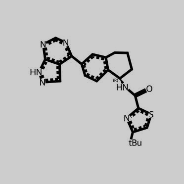 CC(C)(C)c1csc(C(=O)N[C@@H]2CCCc3cc(-c4ncnc5[nH]ncc45)ccc32)n1